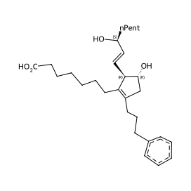 CCCCC[C@H](O)C=C[C@@H]1C(CCCCCCC(=O)O)=C(CCCc2ccccc2)C[C@H]1O